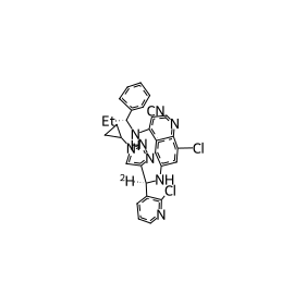 [2H][C@@](Nc1cc(Cl)c2ncc(C#N)c(N[C@H](CC)c3ccccc3)c2c1)(c1cn(C2CC2)nn1)c1cccnc1Cl